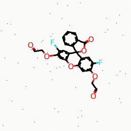 O=CCOc1cc2c(cc1F)C1(OC(=O)c3ccccc31)c1cc(F)c(OCC=O)cc1O2